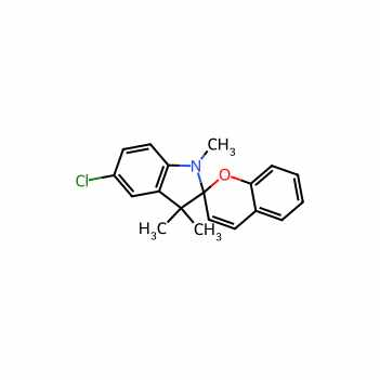 CN1c2ccc(Cl)cc2C(C)(C)C12C=Cc1ccccc1O2